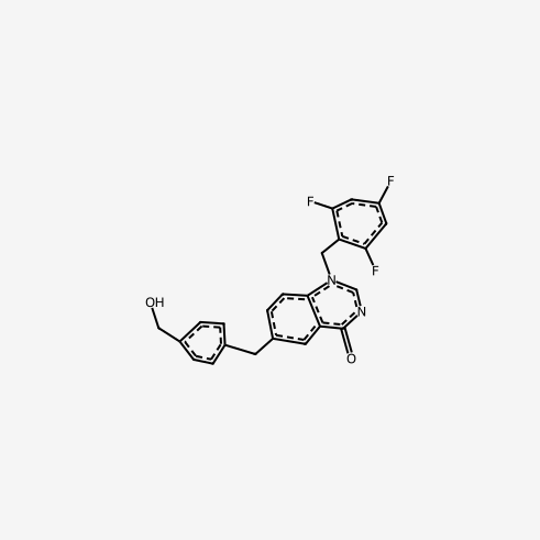 O=c1ncn(Cc2c(F)cc(F)cc2F)c2ccc(Cc3ccc(CO)cc3)cc12